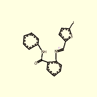 O=C(Nc1ccccc1)c1ccccc1/N=C/c1ccc(I)s1